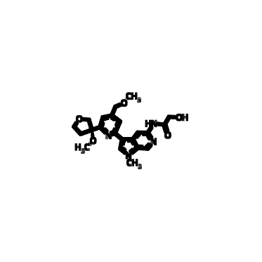 COCc1cc(-c2cn(C)c3cnc(NC(=O)CO)cc23)nc([C@]2(OC)CCOC2)c1